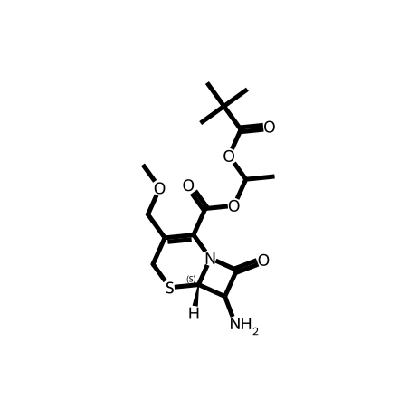 COCC1=C(C(=O)OC(C)OC(=O)C(C)(C)C)N2C(=O)C(N)[C@@H]2SC1